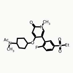 CCS(=O)(=O)c1ccc(F)c(-c2cn(C)c(=O)cc2OC2CCC(N(C)C(C)=O)CC2)c1